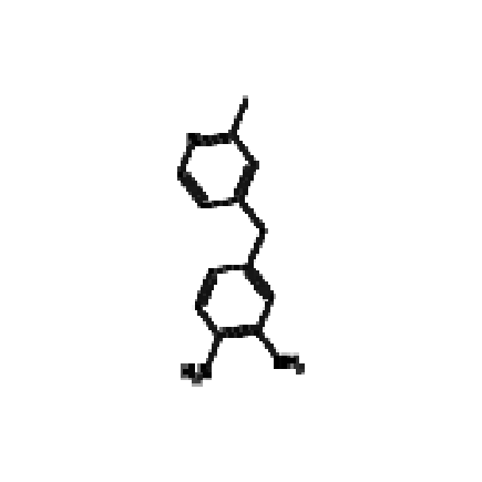 Cc1cc(Cc2ccc(N)c(N)c2)ccn1